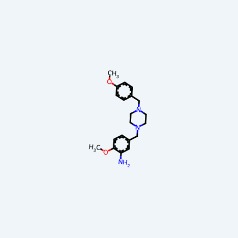 COc1ccc(CN2CCN(Cc3ccc(OC)c(N)c3)CC2)cc1